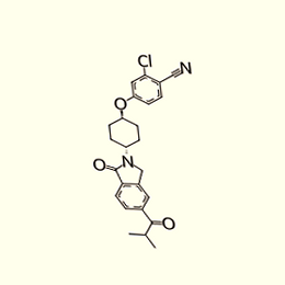 CC(C)C(=O)c1ccc2c(c1)CN([C@H]1CC[C@H](Oc3ccc(C#N)c(Cl)c3)CC1)C2=O